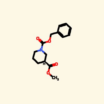 COC(=O)[C@H]1CCCN(C(=O)OCc2ccccc2)C1